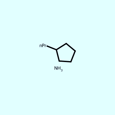 CCCC1CCCC1.N